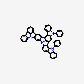 c1ccc(-n2c3ccccc3c3c4c5cc6c7cccc8c9ccccc9n(c6cc5n5c6ccc9c%10ccccc%10n(-c%10ccccc%10)c9c6c(cc32)c45)c87)cc1